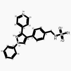 CCS(=O)(=O)NCc1ccc(-c2cn(-c3ccccc3)nc2-c2ccncc2)cc1